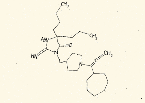 C=C=C(C1CCCCCC1)N1CCC(CN2C(=N)NC(CCCC)(CCCC)C2=O)CC1